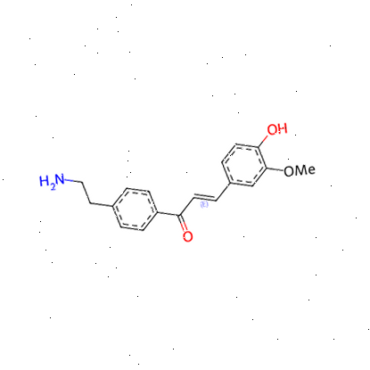 COc1cc(/C=C/C(=O)c2ccc(CCN)cc2)ccc1O